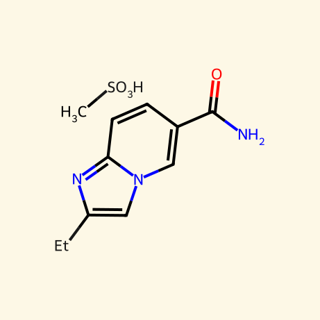 CCc1cn2cc(C(N)=O)ccc2n1.CS(=O)(=O)O